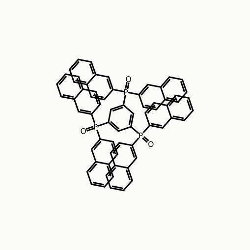 O=P(c1cc(P(=O)(c2ccc3ccccc3c2)c2ccc3ccccc3c2)cc(P(=O)(c2ccc3ccccc3c2)c2ccc3ccccc3c2)c1)(c1ccc2ccccc2c1)c1ccc2ccccc2c1